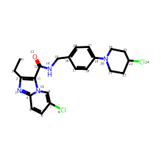 CCc1nc2ccc(Cl)cn2c1C(=O)NCc1ccc(N2CCC(Cl)CC2)cc1